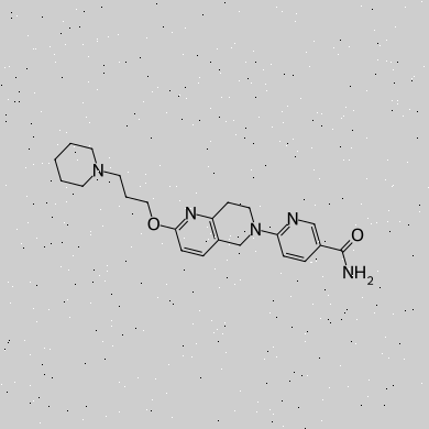 NC(=O)c1ccc(N2CCc3nc(OCCCN4CCCCC4)ccc3C2)nc1